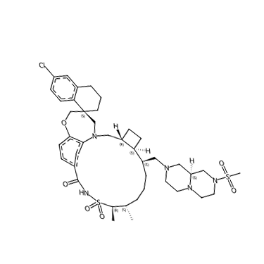 C[C@@H]1[C@@H](C)CCC[C@H](CN2CCN3CCN(S(C)(=O)=O)C[C@@H]3C2)[C@@H]2CC[C@H]2CN2C[C@@]3(CCCc4cc(Cl)ccc43)COc3ccc(cc32)C(=O)NS1(=O)=O